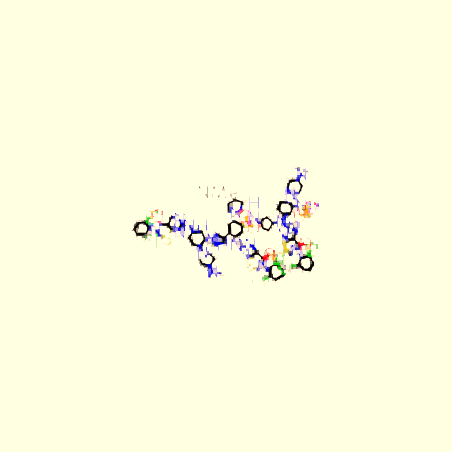 CNC1CCN(c2cc(-c3ccn(-c4cc(Nc5ncc6c(n5)SCN(c5c(Cl)cccc5Cl)C6=O)ccc4N4CCC(N(C)C)CC4)c3)c(Nc3ncc4c(n3)SCN(c3c(Cl)cccc3Cl)C4=O)cc2S(=O)(=O)NC2CCC(N(c3ccc(N4CCC(N(C)C)CC4)c(NS(C)(=O)=O)c3)c3ncc4c(n3)SCN(c3c(Cl)cccc3Cl)C4=O)C2)CC1